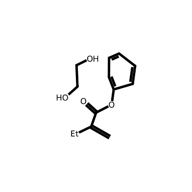 C=C(CC)C(=O)Oc1ccccc1.OCCO